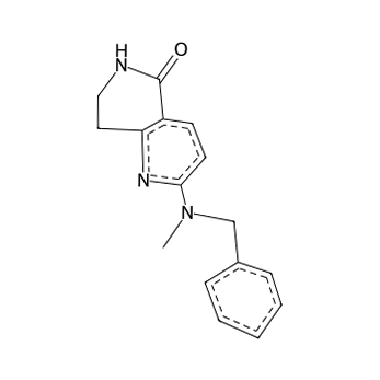 CN(Cc1ccccc1)c1ccc2c(n1)CCNC2=O